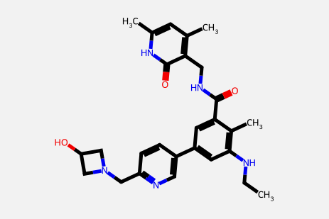 CCNc1cc(-c2ccc(CN3CC(O)C3)nc2)cc(C(=O)NCc2c(C)cc(C)[nH]c2=O)c1C